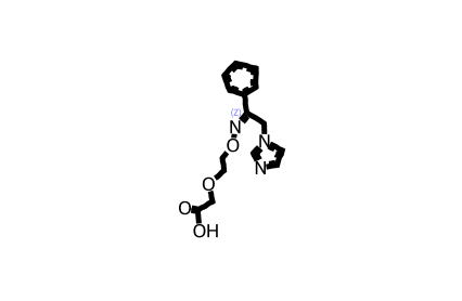 O=C(O)COCCO/N=C(\Cn1ccnc1)c1ccccc1